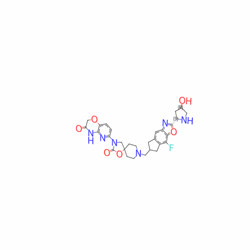 O=C1COc2ccc(N3CC4(CCN(CC5Cc6cc7nc([C@@H]8C[C@@H](O)CN8)oc7c(F)c6C5)CC4)OC3=O)nc2N1